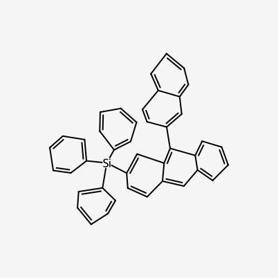 c1ccc([Si](c2ccccc2)(c2ccccc2)c2ccc3cc4ccccc4c(-c4ccc5ccccc5c4)c3c2)cc1